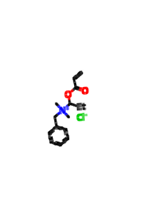 C=CC(=O)OC(CC)[N+](C)(C)Cc1ccccc1.[Cl-]